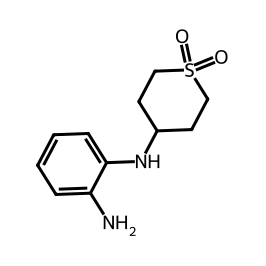 Nc1ccccc1NC1CCS(=O)(=O)CC1